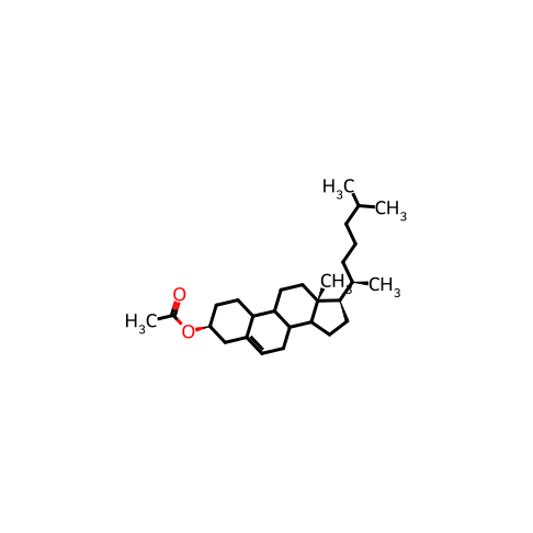 CC(=O)O[C@H]1CCC2C(=CCC3C2CC[C@@]2(C)C3CC[C@@H]2[C@H](C)CCCC(C)C)C1